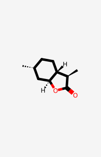 C[C@@H]1CC[C@H]2[C@H](C1)OC(=O)[C@@H]2C